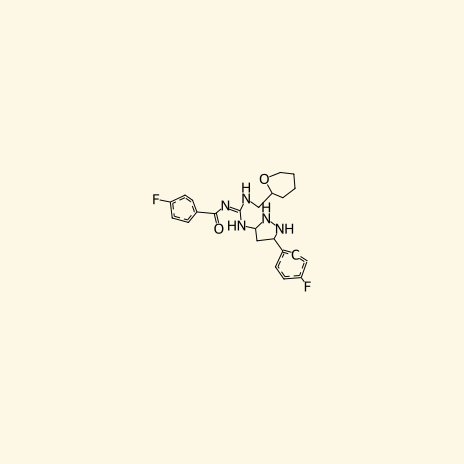 O=C(/N=C(/NCC1CCCCO1)NC1CC(c2ccc(F)cc2)NN1)c1ccc(F)cc1